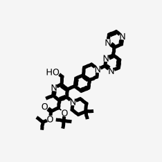 Cc1nc(CO)c(-c2ccc3c(c2)CCN(c2nccc(-c4cnccn4)n2)C3)c(N2CCC(C)(C)CC2)c1[C@H](OC(C)(C)C)C(=O)OC(C)C